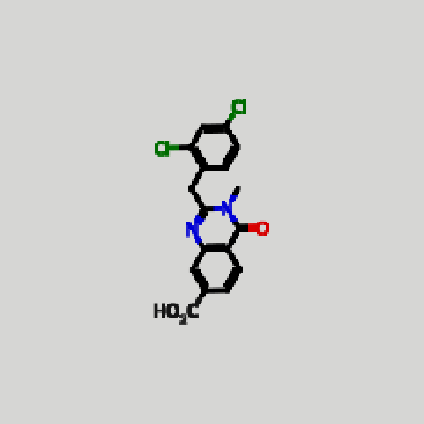 Cn1c(Cc2ccc(Cl)cc2Cl)nc2cc(C(=O)O)ccc2c1=O